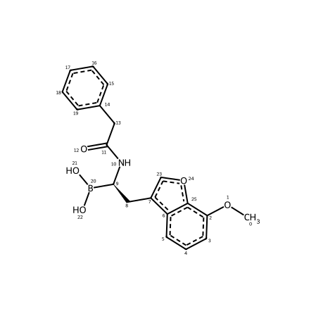 COc1cccc2c(C[C@H](NC(=O)Cc3ccccc3)B(O)O)coc12